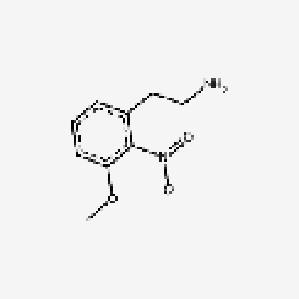 COc1cccc(CCN)c1[N+](=O)[O-]